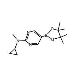 CN(c1ncc(B2OC(C)(C)C(C)(C)O2)cn1)C1CC1